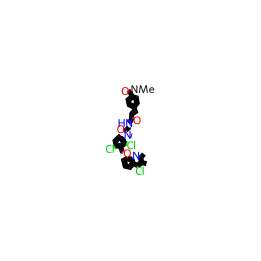 CNC(=O)c1ccc(/C=C/C(=O)NCC(=O)N(C)c2ccc(Cl)c(COc3cccc4c(Cl)c(C)c(C)nc34)c2Cl)cc1